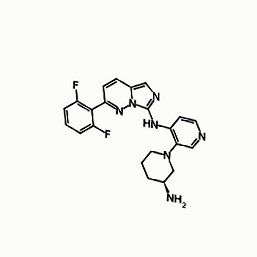 N[C@H]1CCCN(c2cnccc2Nc2ncc3ccc(-c4c(F)cccc4F)nn23)C1